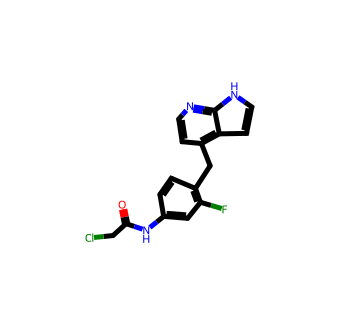 O=C(CCl)Nc1ccc(Cc2ccnc3[nH]ccc23)c(F)c1